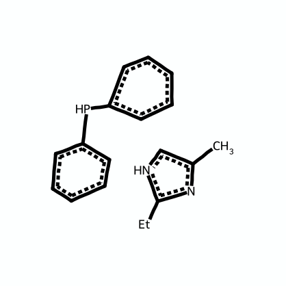 CCc1nc(C)c[nH]1.c1ccc(Pc2ccccc2)cc1